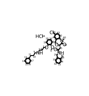 COc1c(OCCCNCCCc2ccccc2)cccc1[C@H]1O[C@H](CC(=O)NCc2ccccc2F)C(=O)N(C)c2ccc(Cl)cc21.Cl